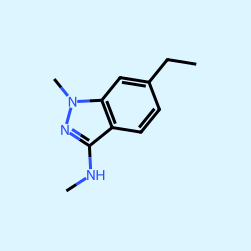 CCc1ccc2c(NC)nn(C)c2c1